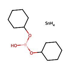 OB(OC1CCCCC1)OC1CCCCC1.[SnH4]